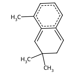 Cc1cccc2c1=CC(C)(C)CC=2